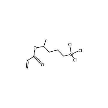 C=CC(=O)OC(C)CCC[Si](Cl)(Cl)Cl